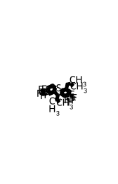 CC(C)Cc1cc(S(F)(F)(F)(F)F)ccc1Sc1ccc(S(F)(F)(F)(F)F)cc1CC(C)C